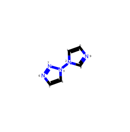 c1cn(-n2ccnn2)cn1